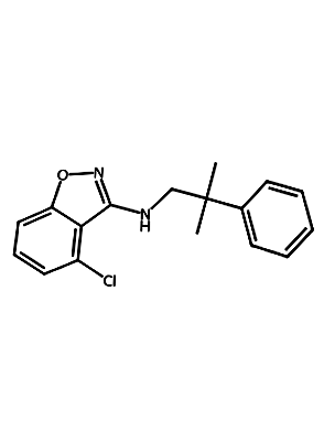 CC(C)(CNc1noc2cccc(Cl)c12)c1ccccc1